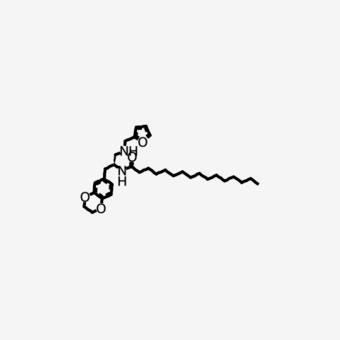 CCCCCCCCCCCCCCCC(=O)N[C@H](CNCc1ccco1)Cc1ccc2c(c1)OCCO2